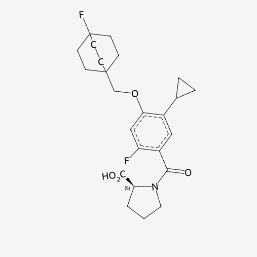 O=C(O)[C@@H]1CCCN1C(=O)c1cc(C2CC2)c(OCC23CCC(F)(CC2)CC3)cc1F